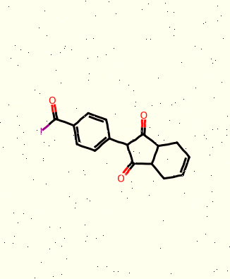 O=C(I)c1ccc(C2C(=O)C3CC=CCC3C2=O)cc1